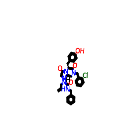 C=CCN(C(=O)NCc1ccccc1)N1CC(=O)N2[C@@H](Cc3ccc(O)cc3)C(=O)N(Cc3ccccc3Cl)C[C@@H]21